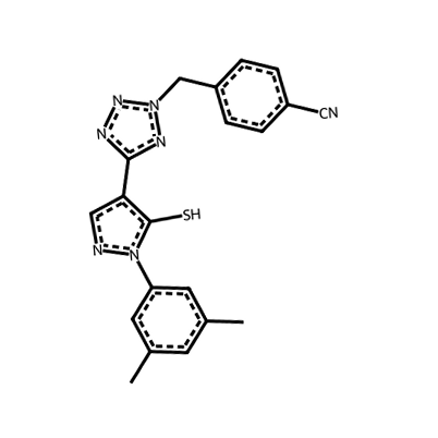 Cc1cc(C)cc(-n2ncc(-c3nnn(Cc4ccc(C#N)cc4)n3)c2S)c1